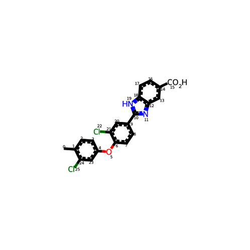 Cc1ccc(Oc2ccc(-c3nc4cc(C(=O)O)ccc4[nH]3)cc2Cl)cc1Cl